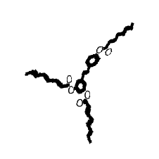 C/C=C/C=C/C=C/C(=O)Oc1ccc(/C=C/c2cc(OC(=O)/C=C/C=C/C=C/C)cc(OC(=O)/C=C/C=C/C=C/C)c2)cc1